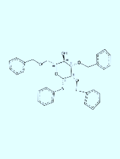 O[C@H]1[C@H](OCc2ccccc2)[C@H](OCc2ccccc2)[C@H](Sc2ccccc2)O[C@@H]1COCc1ccccc1